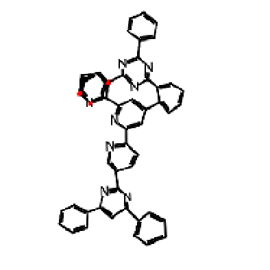 c1ccc(-c2cc(-c3ccccc3)nc(-c3ccc(-c4cc(-c5ccccc5-c5nc(-c6ccccc6)nc(-c6ccccc6)n5)cc(-c5ccccn5)n4)nc3)n2)cc1